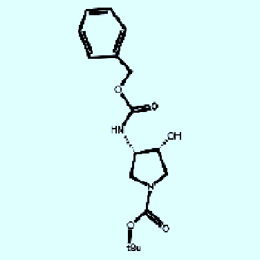 CC(C)(C)OC(=O)N1C[C@@H](O)[C@@H](NC(=O)OCc2ccccc2)C1